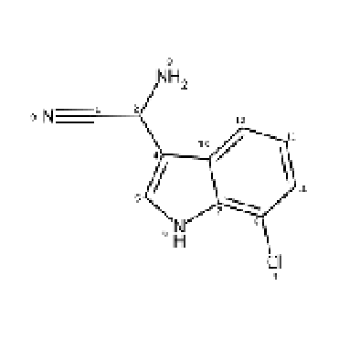 N#CC(N)c1c[nH]c2c(Cl)cccc12